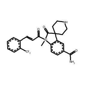 C[N+]1(C(=O)C=Cc2ccccc2C(F)(F)F)C(=O)C2(CCNCC2)c2cc(C(N)=O)ccc21